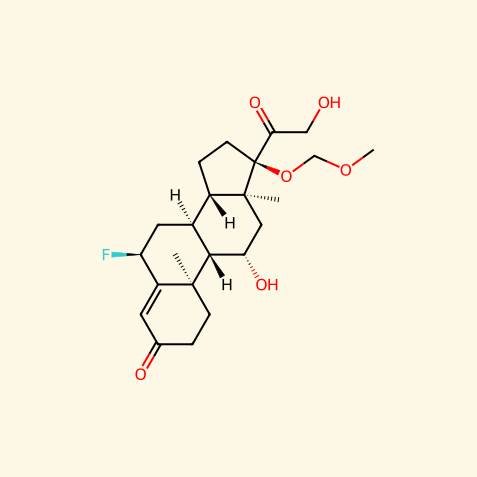 COCO[C@]1(C(=O)CO)CC[C@H]2[C@@H]3C[C@H](F)C4=CC(=O)CC[C@]4(C)[C@H]3[C@@H](O)C[C@@]21C